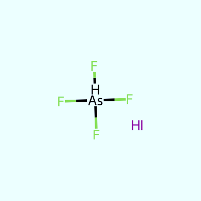 F[AsH](F)(F)F.I